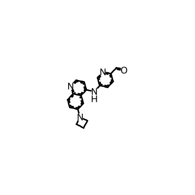 O=Cc1ccc(Nc2ccnc3ccc(N4CCC4)cc23)cn1